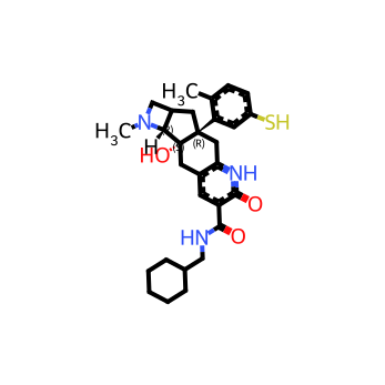 Cc1ccc(S)cc1[C@@]12Cc3[nH]c(=O)c(C(=O)NCC4CCCCC4)cc3C[C@@]1(O)[C@H]1C(CN1C)C2